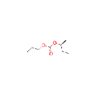 C[CH]COC(=O)O[C@@H](C)CC